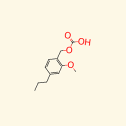 CCCc1ccc(COC(=O)O)c(OC)c1